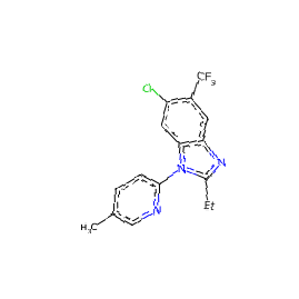 CCc1nc2cc(C(F)(F)F)c(Cl)cc2n1-c1ccc(C)cn1